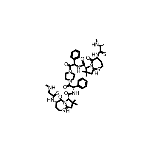 CNCC(=S)N[C@H]1CCS[C@H]2CC(C)(C)[C@@H](C(=O)N[C@H](C(=O)N3CCN(C(=O)C(NC(=O)[C@H]4N5C(=O)[C@@H](NC(=S)[C@H](C)NC)CCS[C@H]5CC4(C)C)c4ccccc4)CC3)c3ccccc3)N2C1=O